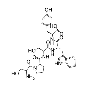 N[C@@H](CO)C(=O)N1CCC[C@H]1C(=O)N[C@@H](CO)C(=O)N[C@@H](Cc1c[nH]c2ccccc12)C(=O)N[C@@H](Cc1ccc(O)cc1)C(=O)O